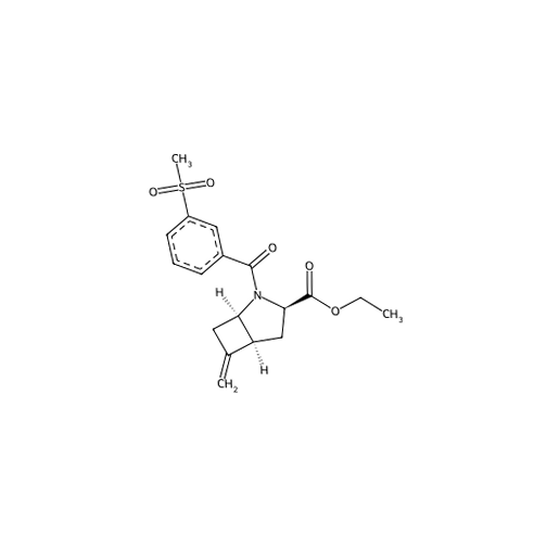 C=C1C[C@@H]2[C@H]1C[C@H](C(=O)OCC)N2C(=O)c1cccc(S(C)(=O)=O)c1